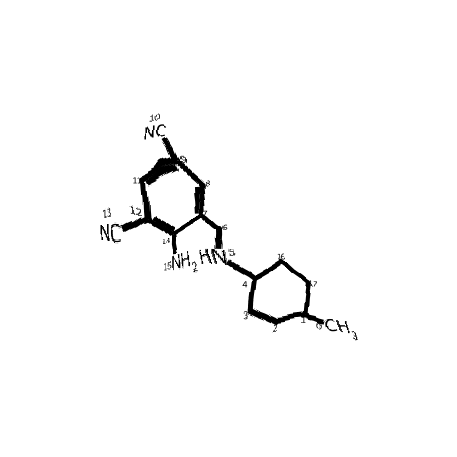 CC1CCC(NCc2cc(C#N)cc(C#N)c2N)CC1